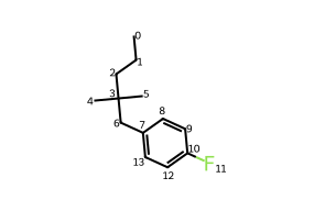 CCCC(C)(C)Cc1ccc(F)cc1